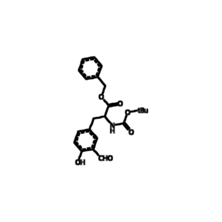 CC(C)(C)OC(=O)NC(Cc1ccc(O)c(C=O)c1)C(=O)OCc1ccccc1